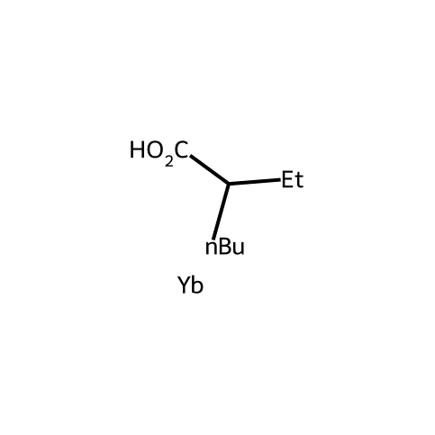 CCCCC(CC)C(=O)O.[Yb]